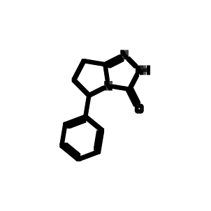 O=c1[nH]nc2n1C(c1ccccc1)CC2